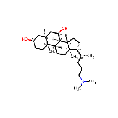 C[C@H](CCCN(C)C)[C@H]1CC[C@H]2[C@@H]3[C@H](O)C[C@@H]4C[C@H](O)CC[C@]4(C)[C@H]3CC[C@]12C